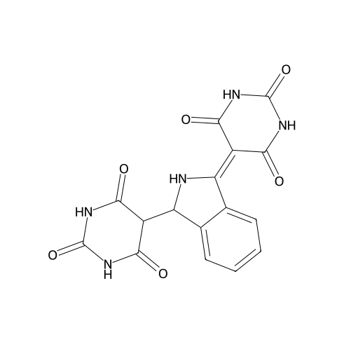 O=C1NC(=O)C(=C2NC(C3C(=O)NC(=O)NC3=O)c3ccccc32)C(=O)N1